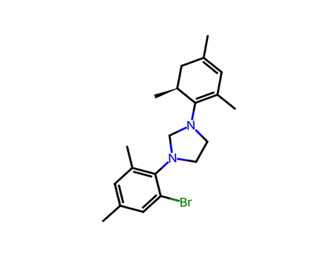 CC1=CC(C)=C(N2CCN(c3c(C)cc(C)cc3Br)C2)[C@@H](C)C1